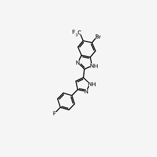 Fc1ccc(-c2cc(-c3nc4cc(C(F)(F)F)c(Br)cc4[nH]3)[nH]n2)cc1